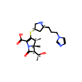 C[C@@H](O)[C@H]1C(=O)N2C(C(=O)O)=C(S[C@@H]3CN[C@@H](CCCn4ccnc4)C3)[C@H](C)[C@H]12